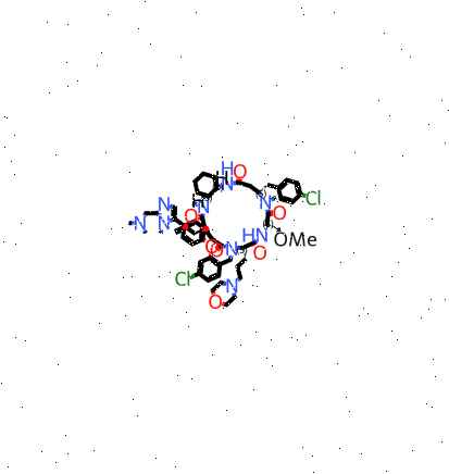 C=CC[C@@H]1CC(=O)N(Cc2ccc(Cl)cc2Oc2ccc(-c3cnc(CN(C)C)n3C)cc2)[C@@H](CCCN2CCOCC2)C(=O)N[C@@H](COC)C(=O)N(C)[C@@H](Cc2ccc(Cl)cc2)CC(=O)N[C@H]2CCCC[C@@H]2N(C)C1=O